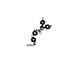 CCCCCCOc1ccc(Oc2ccc(NC(=O)N3CC(c4ccc(F)cc4)C(c4ccc(F)cc4)=N3)cc2)cc1